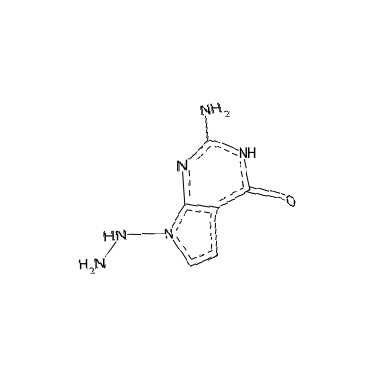 NNn1ccc2c(=O)[nH]c(N)nc21